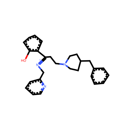 Oc1ccccc1/C(CCN1CCC(Cc2ccccc2)CC1)=N/Cc1ccccn1